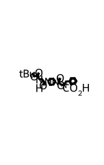 CC(C)(C)OC(=O)NCC(=O)N1CCN(C(=O)O[C@@H](Cc2ccccc2)C(=O)O)CC1